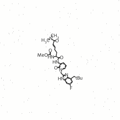 COC(=O)NC(CCC=CC(=O)N(C)C)C(=O)Nc1cccn(Cc2nc3c(CC(C)(C)C)cc(F)cc3[nH]2)c1=O